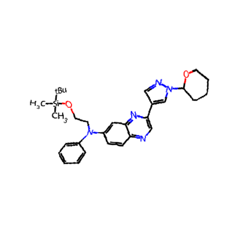 CC(C)(C)[Si](C)(C)OCCN(c1ccccc1)c1ccc2ncc(-c3cnn(C4CCCCO4)c3)nc2c1